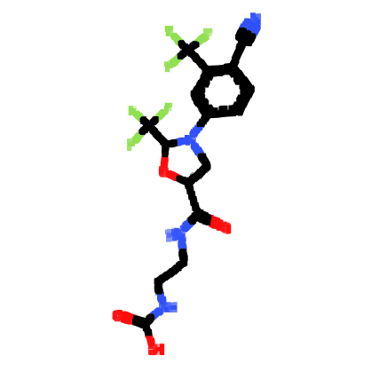 N#Cc1ccc(N2CC(C(=O)NCCNC(=O)O)OC2C(F)(F)F)cc1C(F)(F)F